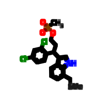 CSCc1cccc2c(C(CCOS(C)(=O)=O)c3ccc(Cl)cc3Cl)c[nH]c12